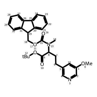 COc1cncc(CCC(C(=O)OC(C)(C)C)N(C)C(=O)OCC2c3ccccc3-c3ccccc32)c1